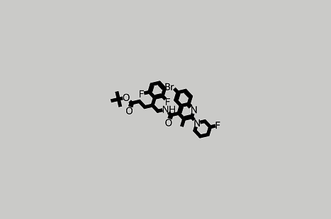 Cc1c(N2CCCC(F)C2)nc2ccc(Br)cc2c1C(=O)NCC(CCC(=O)OC(C)(C)C)c1c(F)cccc1F